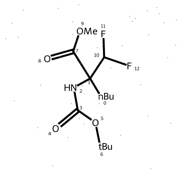 CCCCC(NC(=O)OC(C)(C)C)(C(=O)OC)C(F)F